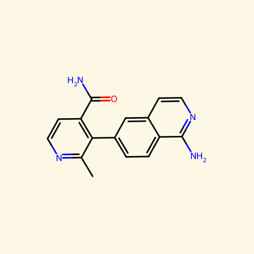 Cc1nccc(C(N)=O)c1-c1ccc2c(N)nccc2c1